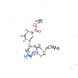 COc1ccc2[nH]cc(C3=CN(C(=O)OC(C)(C)C)CCC3)c2c1